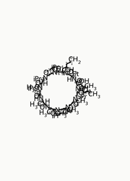 C=CCCCC1C(=O)N(C)[C@@H](CC(C)C)C(=O)N[C@@H](C(C)C)C(=O)N(C)[C@@H](CC(C)C)C(=O)N[C@@H](C)C(=O)N[C@H](C)C(=O)N(C)[C@@H](CC(C)C)C(=O)N(C)[C@@H](CC(C)C)C(=O)N(C)[C@@H](C(C)C)C(=O)N(C)[C@@H]([C@H](O)[C@H](C)C/C=C/C)C(=O)N[C@@H](CC)C(=O)N1C